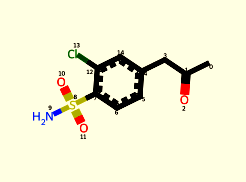 CC(=O)Cc1ccc(S(N)(=O)=O)c(Cl)c1